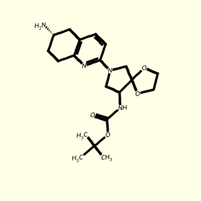 CC(C)(C)OC(=O)NC1CN(c2ccc3c(n2)CC[C@H](N)C3)CC12OCCO2